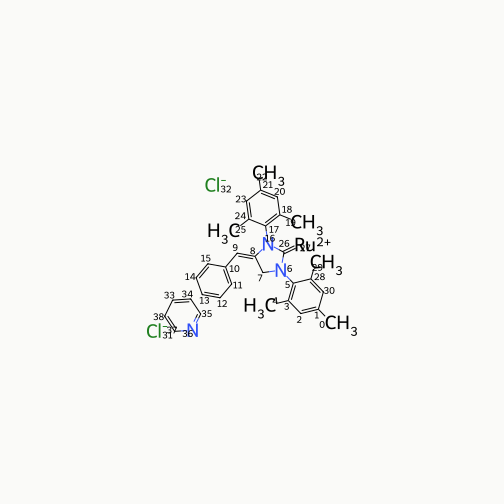 Cc1cc(C)c(N2CC(=Cc3ccccc3)N(c3c(C)cc(C)cc3C)[C]2=[Ru+2])c(C)c1.[Cl-].[Cl-].c1ccncc1